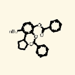 CCCCc1ccc(OC(=O)c2ccccc2)c(OC(=O)c2ccccc2)c1C1CCCC1